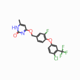 Cc1cc(OCc2ccc(Oc3ccc(Cl)c(C(F)(F)F)c3)c(F)c2)nc(=O)[nH]1